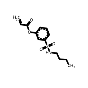 C=CC(=O)Oc1cccc(S(=O)(=O)NCCCC)c1